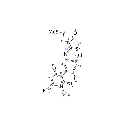 CSCCN1C(=O)CS/C1=N\c1cc(-n2c(=O)cc(C(F)(F)F)n(C)c2=O)c(F)cc1Cl